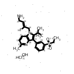 CCS(=O)(=O)c1cccc(-c2c(C(C)C)n(C/C(F)=C/CN)c3ccc(C)nc23)c1.Cl.Cl